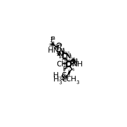 C[Si](C)(C)C#CCc1c(F)c(Cl)c(-c2cn3cc(NC(=O)C4CC4F)nc3cn2)c2cn[nH]c12